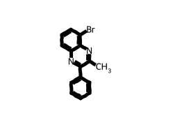 Cc1nc2c(Br)cccc2nc1-c1ccccc1